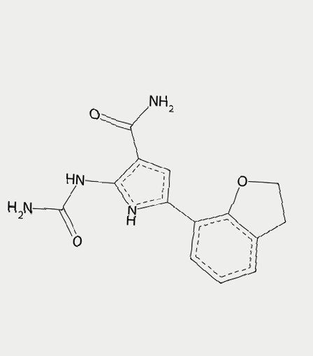 NC(=O)Nc1[nH]c(-c2cccc3c2OCC3)cc1C(N)=O